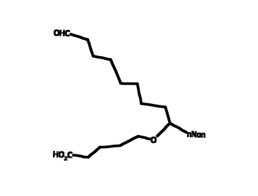 CCCCCCCCCC(CCCCCCCC=O)OCCCCC(=O)O